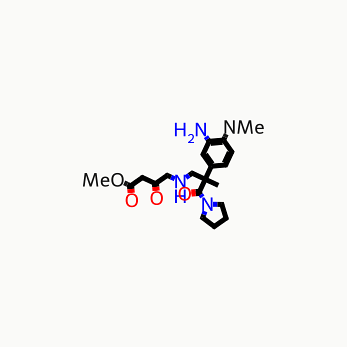 CNc1ccc(C(C)(CNCC(=O)CC(=O)OC)C(=O)N2CCCC2)cc1N